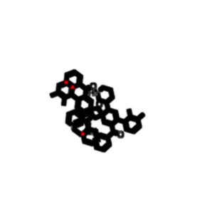 Cc1cccc(C2=CC(C3CCCNC3)C(CCc3cccnc3)(C(=O)C3(CCc4cccnc4)C=C(C(=O)c4ccccc4)C(c4cccc(C)c4C)=CC3C3CCCNC3)C=C2C(=O)c2ccccc2)c1C